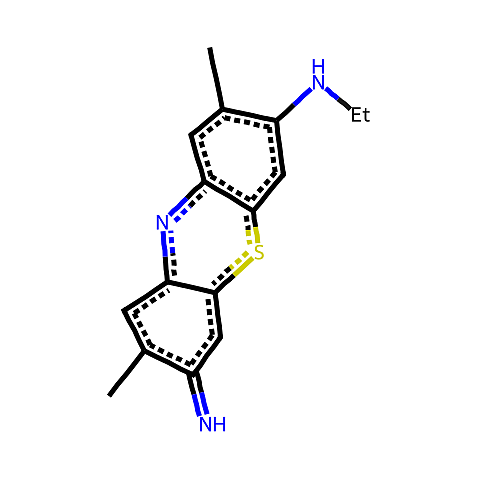 CCNc1cc2sc3cc(=N)c(C)cc-3nc2cc1C